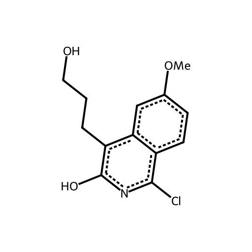 COc1ccc2c(Cl)nc(O)c(CCCO)c2c1